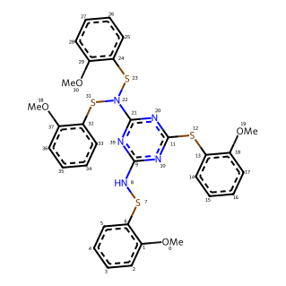 COc1ccccc1SNc1nc(Sc2ccccc2OC)nc(N(Sc2ccccc2OC)Sc2ccccc2OC)n1